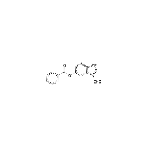 O=Cc1c[nH]c2ccc(OC(=O)c3ccccc3)cc12